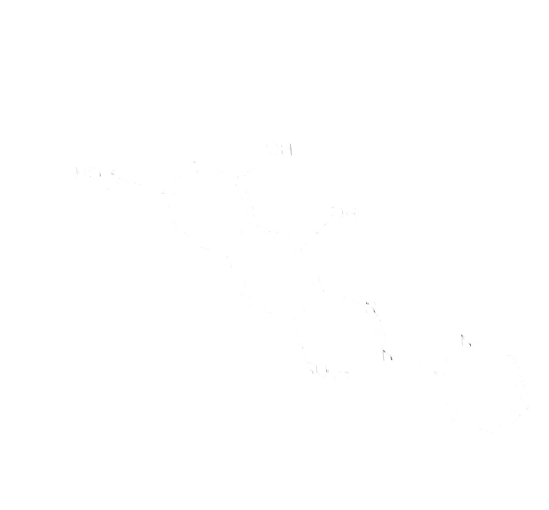 O=S(=O)(O)c1cc(O)c2c(O)c(N=Nc3ccccn3)c(S(=O)(=O)O)cc2c1